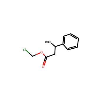 CCCCC(CC(=O)OCCl)c1ccccc1